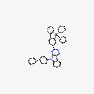 c1ccc(-c2ccc(-n3c4ccccc4c4cnc(-c5ccc6c(c5)[Si](c5ccccc5)(c5ccccc5)c5ccccc5-6)nc43)cc2)cc1